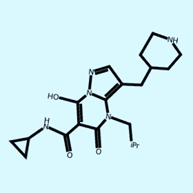 CC(C)Cn1c(=O)c(C(=O)NC2CC2)c(O)n2ncc(CC3CCNCC3)c12